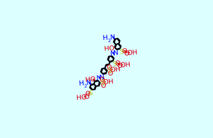 Nc1ccc2cc(SOOO)c(N=Nc3ccc(C=Cc4ccc(N=Nc5c(S(=O)(=O)O)cc6cc(SOOO)cc(N)c6c5O)cc4S(=O)(=O)O)c(SOOO)c3)c(O)c2c1